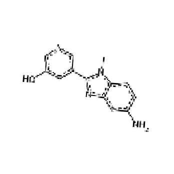 Cn1c(-c2cncc(O)c2)nc2cc(N)ccc21